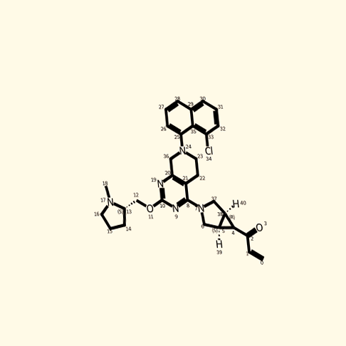 C=CC(=O)C1[C@H]2CN(c3nc(OC[C@@H]4CCCN4C)nc4c3CCN(c3cccc5cccc(Cl)c35)C4)C[C@@H]12